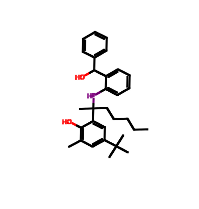 CCCCCC(C)(Pc1ccccc1C(O)c1ccccc1)c1cc(C(C)(C)C)cc(C)c1O